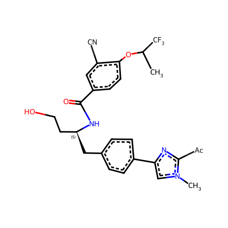 CC(=O)c1nc(-c2ccc(C[C@@H](CCO)NC(=O)c3ccc(OC(C)C(F)(F)F)c(C#N)c3)cc2)cn1C